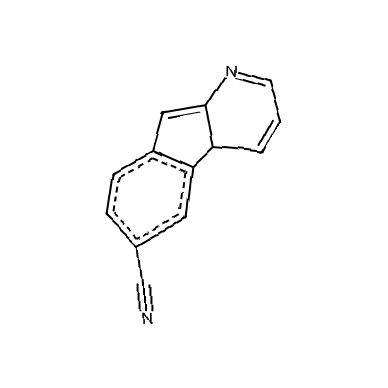 N#Cc1ccc2c(c1)C1C=CC=NC1=C2